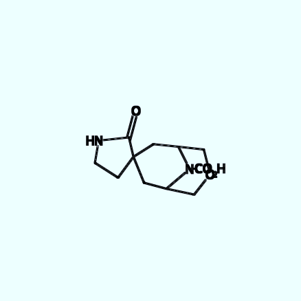 O=C(O)N1C2COCC1CC1(CCNC1=O)C2